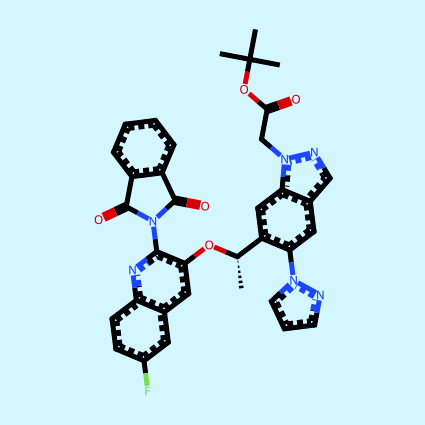 C[C@H](Oc1cc2cc(F)ccc2nc1N1C(=O)c2ccccc2C1=O)c1cc2c(cnn2CC(=O)OC(C)(C)C)cc1-n1cccn1